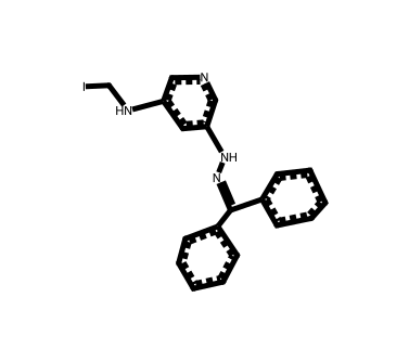 ICNc1cncc(NN=C(c2ccccc2)c2ccccc2)c1